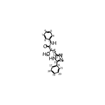 O=C(Nc1ccccc1)C(O)Sc1nnc(-c2ccccc2)[nH]1